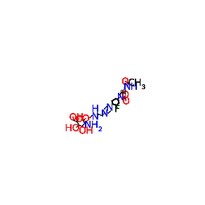 CC(=O)NC[C@H]1CN(c2ccc(N3CCN(CCNCCOC4OC(CO)C(O)C(O)C4N)CC3)c(F)c2)C(=O)O1